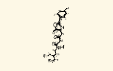 Cc1ccc(-c2nc(CC(=O)CC(=O)NCCC(CC(C)C)CC(C)C)c(C)o2)cc1